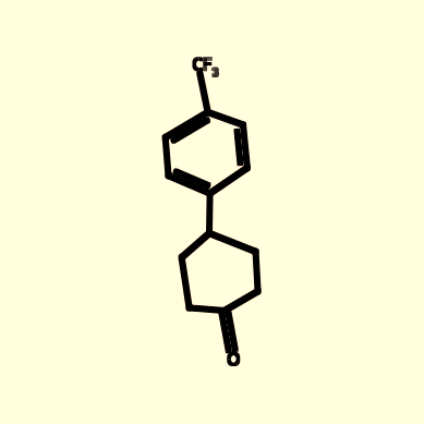 O=C1CCC(c2ccc(C(F)(F)F)cc2)CC1